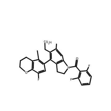 Cc1cc2c(c(-c3cc(F)c4c(c3C)CCCO4)c1CC(=O)O)CCN2C(=O)c1c(F)cccc1F